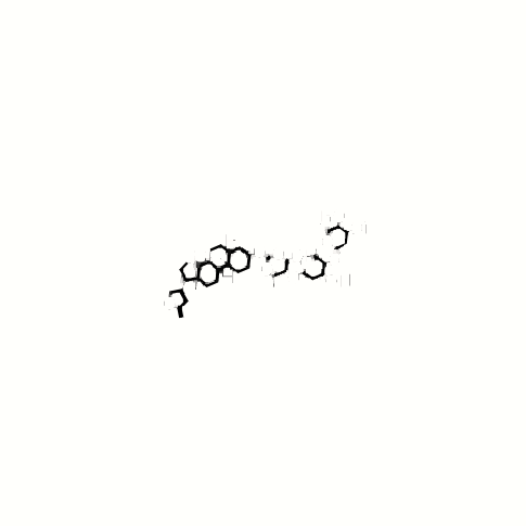 C=C1C=C([C@H]2CC[C@]34O[C@@]35CC[C@H]3C[C@@H](O[C@@H]6O[C@H](C)[C@@H](O[C@H]7C[C@H](O)[C@H](O[C@H]8C[C@@H](O)[C@H](O)[C@@H](C)O8)[C@@H](C)O7)[C@@H](O)O6)CC[C@]3(C)[C@H]5CC[C@]24C)CO1